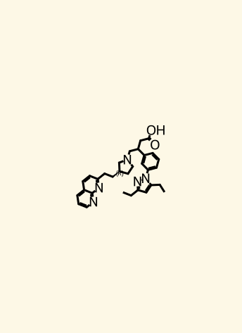 CCc1cc(CC)n(-c2cccc(C(CC(=O)O)CN3CC[C@@H](CCc4ccc5cccnc5n4)C3)c2)n1